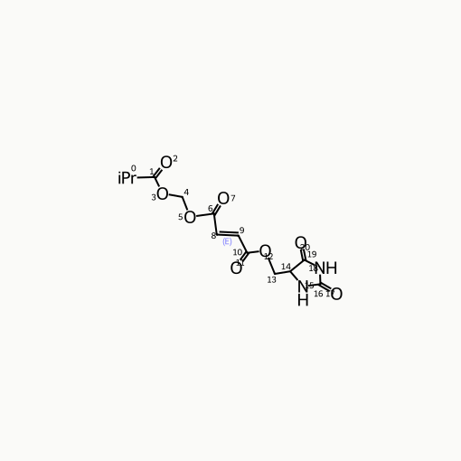 CC(C)C(=O)OCOC(=O)/C=C/C(=O)OCC1NC(=O)NC1=O